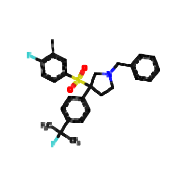 Cc1cc(S(=O)(=O)C2(c3ccc(C(F)(C(F)(F)F)C(F)(F)F)cc3)CCN(Cc3ccccc3)C2)ccc1F